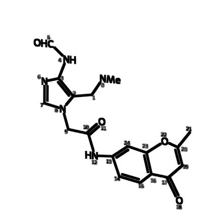 CNCc1c(NC=O)ncn1CC(=O)Nc1ccc2c(=O)cc(C)oc2c1